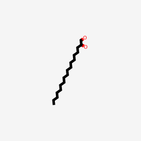 CCCCCCCCCCCCCCCCC(=O)C=O